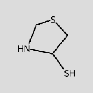 SC1CSCN1